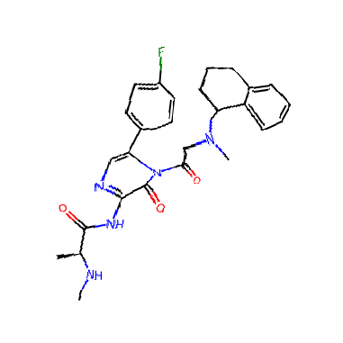 CN[C@@H](C)C(=O)Nc1ncc(-c2ccc(F)cc2)n(C(=O)CN(C)C2CCCc3ccccc32)c1=O